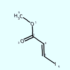 COC(=O)C=CI